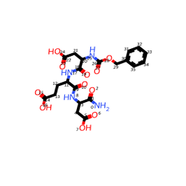 NC(=O)C(CC(=O)O)NC(=O)C(CCC(=O)O)NC(=O)C(CC(=O)O)NC(=O)OCc1ccccc1